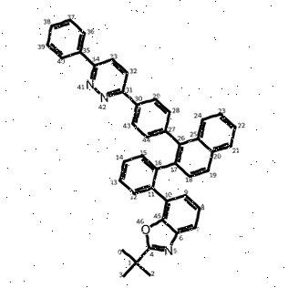 CC(C)(C)c1nc2cccc(-c3ccccc3-c3ccc4ccccc4c3-c3ccc(-c4ccc(-c5ccccc5)nn4)cc3)c2o1